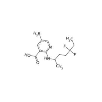 Bc1cnc(NC(C)CCC(F)(F)CC)c(C(=O)O)c1